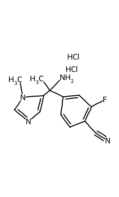 Cl.Cl.Cn1cncc1C(C)(N)c1ccc(C#N)c(F)c1